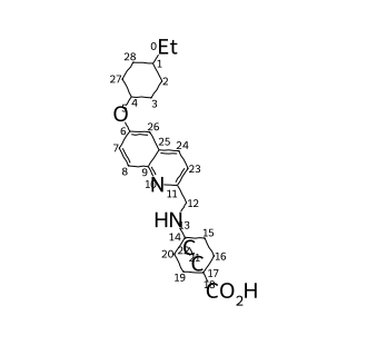 CCC1CCC(Oc2ccc3nc(CNC45CCC(C(=O)O)(CC4)CC5)ccc3c2)CC1